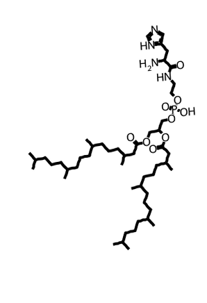 CC(C)CCCC(C)CCCC(C)CCCC(C)CC(=O)OCC(COP(=O)(O)OCCNC(=O)C(N)Cc1cnc[nH]1)OC(=O)CC(C)CCCC(C)CCCC(C)CCCC(C)C